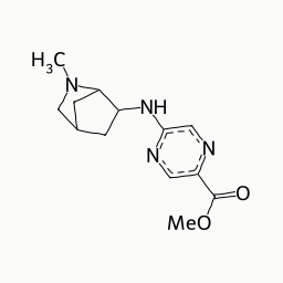 COC(=O)c1cnc(NC2CC3CC2N(C)C3)cn1